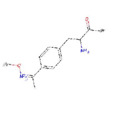 C/C(=N/OC(C)C)c1ccc(CC(N)C(=O)C(C)C)cc1